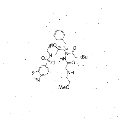 COCCNCC(=O)NN(C(=O)CC(C)(C)C)[C@@H](Cc1ccccc1)[C@H](O)CN(CC(C)C)S(=O)(=O)c1ccc2ncsc2c1